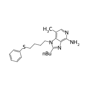 CCCCc1nc2c(N)ncc(C)c2n1CCCCSc1ccccc1